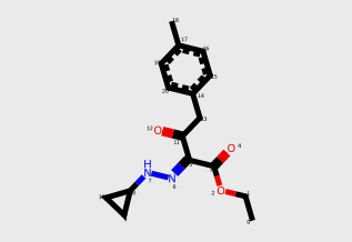 CCOC(=O)/C(=N/NC1CC1)C(=O)Cc1ccc(C)cc1